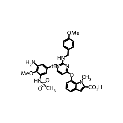 COc1c(N)cc(C(C)(C)C)cc1NS(C)(=O)=O.COc1ccc(CNc2nccc(Oc3cccc4cc(C(=O)O)n(C)c34)n2)cc1